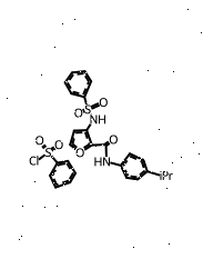 CC(C)c1ccc(NC(=O)c2occc2NS(=O)(=O)c2ccccc2)cc1.O=S(=O)(Cl)c1ccccc1